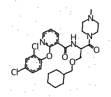 CN1CCN(C(=O)[C@@H](COCC2CCCCC2)NC(=O)c2cccnc2Oc2ccc(Cl)cc2Cl)CC1